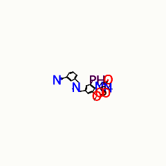 COc1cc(CN(C)Cc2cccc(C#N)c2)cc(P)c1N1CC(=O)N(C)S1(=O)=O